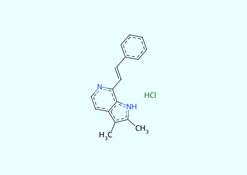 Cc1[nH]c2c(C=Cc3ccccc3)nccc2c1C.Cl